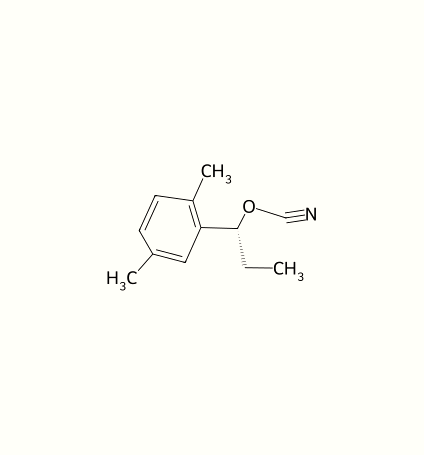 CC[C@@H](OC#N)c1cc(C)ccc1C